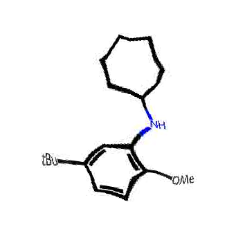 COc1ccc(C(C)(C)C)cc1NC1CCCCC1